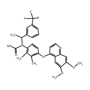 COc1cc2nccc(Oc3ccc(N(C(=O)O)C(C)c4cccc(C(F)(F)F)c4)c(C)c3C)c2cc1OC